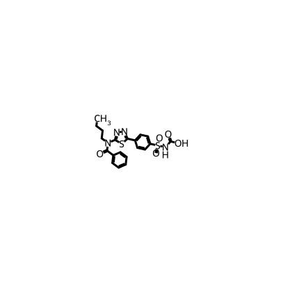 CCCCN(C(=O)c1ccccc1)c1nnc(-c2ccc(S(=O)(=O)NC(=O)O)cc2)s1